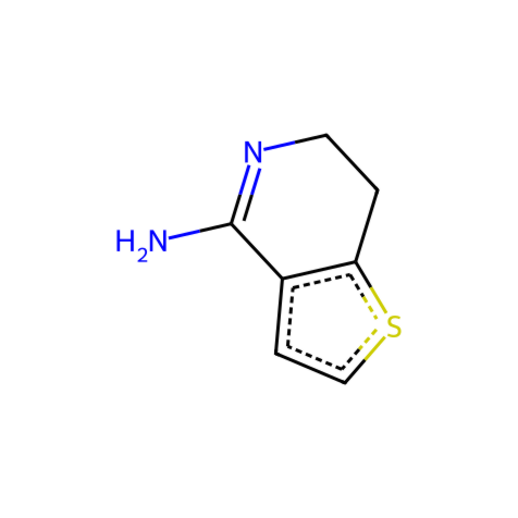 NC1=NCCc2sccc21